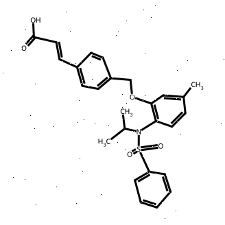 Cc1ccc(N(C(C)C)S(=O)(=O)c2ccccc2)c(OCc2ccc(C=CC(=O)O)cc2)c1